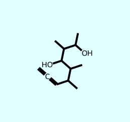 C=C=CC(C)C(C)C(O)C(C)C(C)O